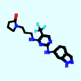 O=C1CCCN1CCCNc1nc(Nc2ccc3cn[nH]c3c2)ncc1C(F)(F)F